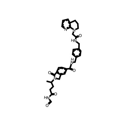 CC(CCC(=O)NC=O)N1Cc2cc(C(=O)NCc3ccc(CNC(=O)CN4CCCc5cccnc54)cc3)ccc2C1=O